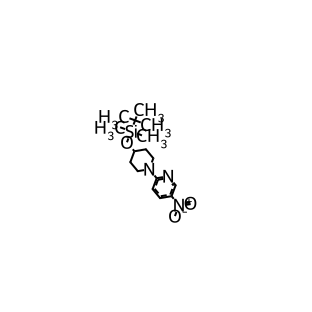 CC(C)(C)[Si](C)(C)OC1CCN(c2ccc([N+](=O)[O-])cn2)CC1